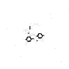 CNCCNc1nc2c(F)c(F)cc(/C(=N/O)Nc3ccc(F)c(Cl)c3)c2[nH]1